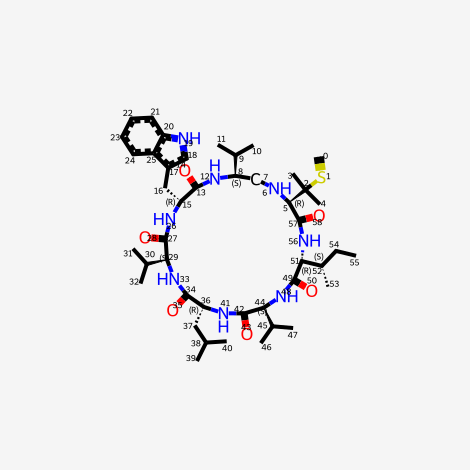 C#SC(C)(C)[C@@H]1NC[C@H](C(C)C)NC(=O)[C@@H](Cc2c[nH]c3ccccc23)NC(=O)[C@H](C(C)C)NC(=O)[C@@H](CC(C)C)NC(=O)[C@H](C(C)C)NC(=O)[C@@H]([C@@H](C)CC)NC1=O